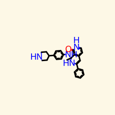 CC1(Nc2ccc(C3CCNCC3)cc2)NC(c2ccccc2)=Cc2cc[nH]c(=O)c21